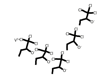 CCC([O-])C(Cl)(Cl)Cl.CCC([O-])C(Cl)(Cl)Cl.CCC([O-])C(Cl)(Cl)Cl.CCC([O-])C(Cl)(Cl)Cl.CCC([O-])C(Cl)(Cl)Cl.[V+5]